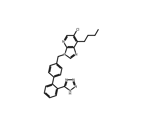 CCCCc1c(Cl)cnc2c1ncn2Cc1ccc(-c2ccccc2-c2nnn[nH]2)cc1